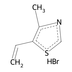 Br.C=Cc1scnc1C